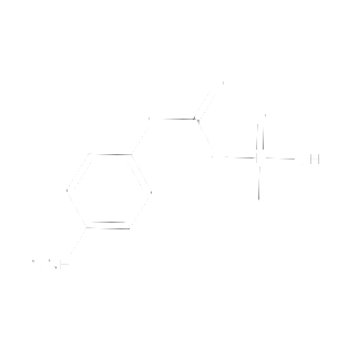 CC(=O)Nc1ccc(OC(=O)OP(C)(=O)O)cc1